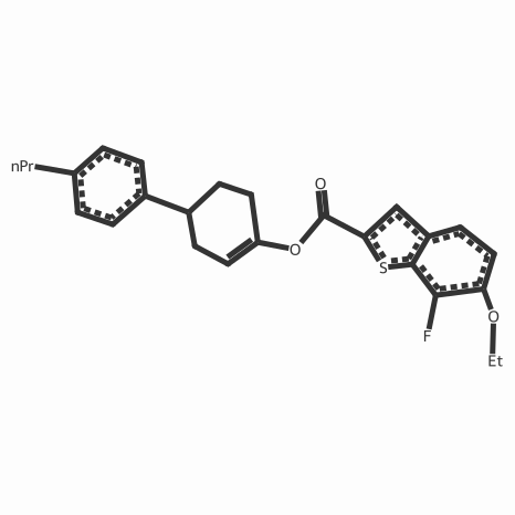 CCCc1ccc(C2CC=C(OC(=O)c3cc4ccc(OCC)c(F)c4s3)CC2)cc1